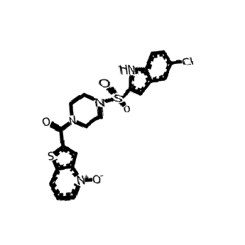 O=C(c1cc2c(ccc[n+]2[O-])s1)N1CCN(S(=O)(=O)c2cc3cc(Cl)ccc3[nH]2)CC1